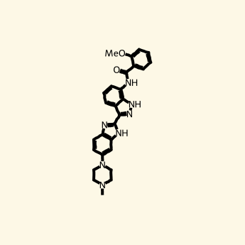 COc1ccccc1C(=O)Nc1cccc2c(-c3nc4ccc(N5CCN(C)CC5)cc4[nH]3)n[nH]c12